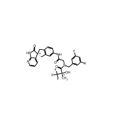 C[C@](O)(C(=O)N(CC(=O)Nc1ccc2c(c1)C[C@@]1(C2)C(=O)Nc2ncccc21)Cc1cc(F)cc(F)c1)C(F)(F)F